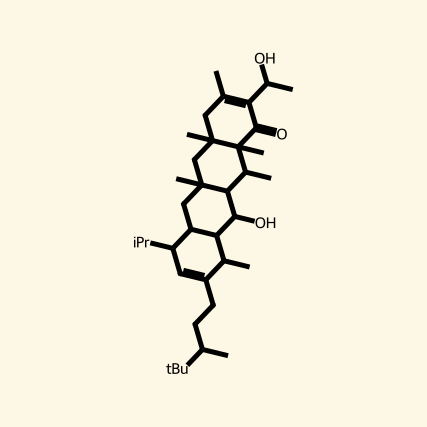 CC1=C(C(C)O)C(=O)C2(C)C(C)C3C(O)C4C(C)C(CCC(C)C(C)(C)C)=CC(C(C)C)C4CC3(C)CC2(C)C1